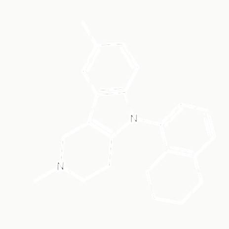 Cc1ccc2c(c1)c1c(n2-c2cccc3c2CCCC3)CCN(C)C1